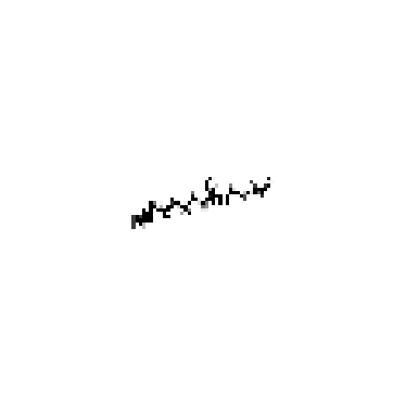 CCOCCOC(=O)CCCCCN=[N+]=[N-]